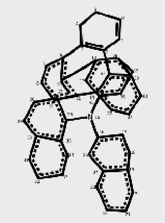 C1=CC2=C(CC1)c1cccc3c1-c1cc(N(c4ccc5ccccc5c4)c4cccc5ccccc45)ccc1-c1cccc-3c12